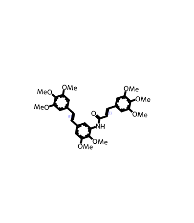 COc1cc(/C=C/c2cc(OC)c(OC)c(OC)c2)cc(NC(=O)/C=C/c2cc(OC)c(OC)c(OC)c2)c1OC